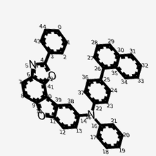 c1ccc(-c2nc3ccc4oc5ccc(N(c6ccccc6)c6ccc(-c7cccc8ccccc78)cc6)cc5c4c3o2)cc1